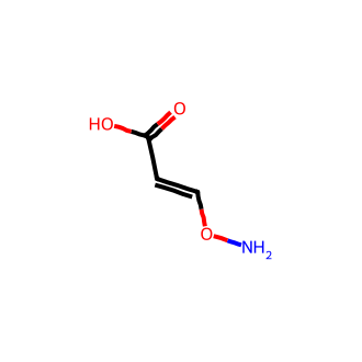 NOC=CC(=O)O